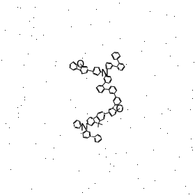 CC1(C)c2cc(-c3ccc4oc5ccc(-c6cccc(-c7ccccc7-c7cccc(N(c8ccc(-c9ccc%10c(c9)oc9ccccc9%10)cc8)c8cccc(-c9ccccc9-c9ccccc9)c8)c7)c6)cc5c4c3)ccc2-c2ccc(N(c3ccccc3)c3cccc(-c4ccccc4)c3)cc21